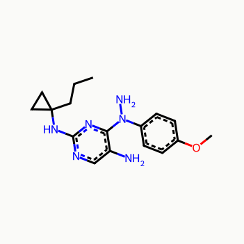 CCCC1(Nc2ncc(N)c(N(N)c3ccc(OC)cc3)n2)CC1